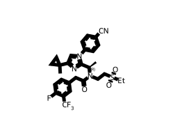 CCS(=O)(=O)CCN(C(=O)Cc1ccc(F)c(C(F)(F)F)c1)[C@H](C)c1nc(C2(C)CC2)cn1-c1ccc(C#N)cc1